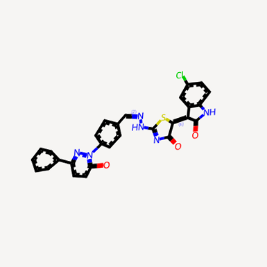 O=C1N=C(N/N=C\c2ccc(-n3nc(-c4ccccc4)ccc3=O)cc2)S/C1=C1/C(=O)Nc2ccc(Cl)cc21